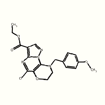 CCOC(=O)c1cnn2c3c(c(Cl)nc12)OCCN3Cc1ccc(OC)cc1